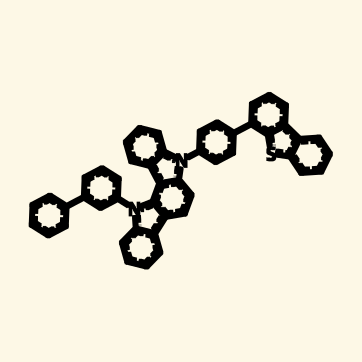 c1ccc(-c2cccc(-n3c4ccccc4c4ccc5c(c6ccccc6n5-c5ccc(-c6cccc7c6sc6ccccc67)cc5)c43)c2)cc1